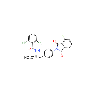 O=C(N[C@@H](Cc1ccc(N2C(=O)c3cccc(F)c3C2=O)cc1)C(=O)O)c1c(Cl)cccc1Cl